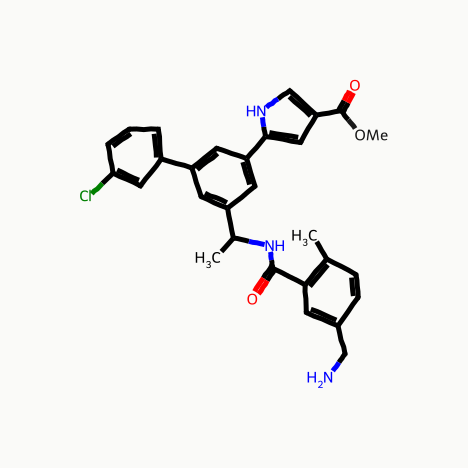 COC(=O)c1c[nH]c(-c2cc(-c3cccc(Cl)c3)cc(C(C)NC(=O)c3cc(CN)ccc3C)c2)c1